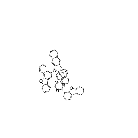 C[C@H]1C2=C(C=CC2)C=C[C@]12Cc1cc3ccccc3cc1N2c1cc2c(oc3cccc(-c4nc(-c5ccccc5)nc(-c5cccc6c5oc5ccccc56)n4)c32)c2ccccc12